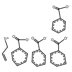 C=C[CH2][Ti+4].O=C([O-])c1ccccc1.O=C([O-])c1ccccc1.O=C([O-])c1ccccc1.O=C([O-])c1ccccc1